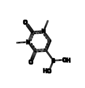 Cn1cc(B(O)O)c(=O)n(C)c1=O